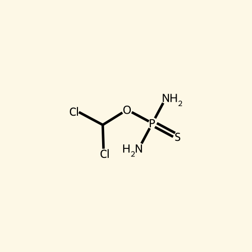 NP(N)(=S)OC(Cl)Cl